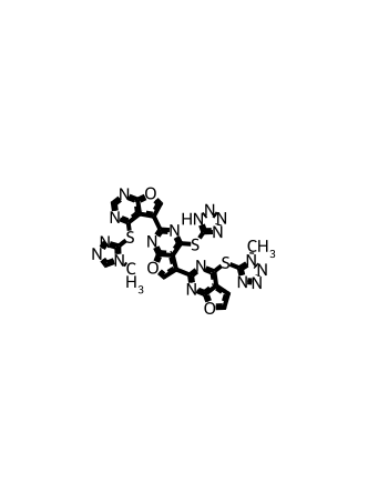 Cn1cnnc1Sc1ncnc2occ(-c3nc(Sc4nnn[nH]4)c4c(-c5nc(Sc6nnnn6C)c6ccoc6n5)coc4n3)c12